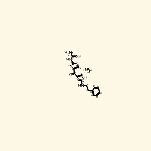 Cl.Cl.N=C(N)Nc1nc(C(=O)c2c[nH]c(NCCc3ccccc3)n2)cs1